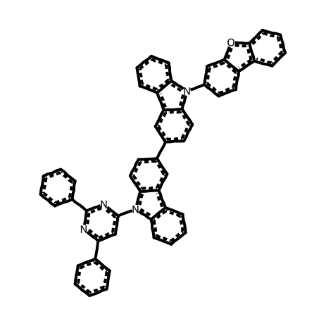 c1ccc(-c2cc(-n3c4ccccc4c4cc(-c5ccc6c(c5)c5ccccc5n6-c5ccc6c(c5)oc5ccccc56)ccc43)nc(-c3ccccc3)n2)cc1